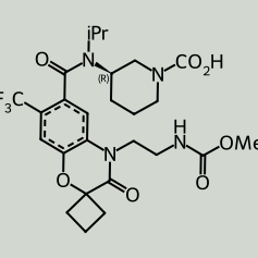 COC(=O)NCCN1C(=O)C2(CCC2)Oc2cc(C(F)(F)F)c(C(=O)N(C(C)C)[C@@H]3CCCN(C(=O)O)C3)cc21